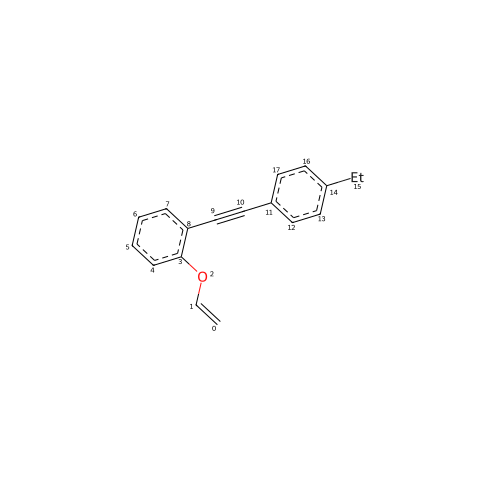 C=COc1ccccc1C#Cc1ccc(CC)cc1